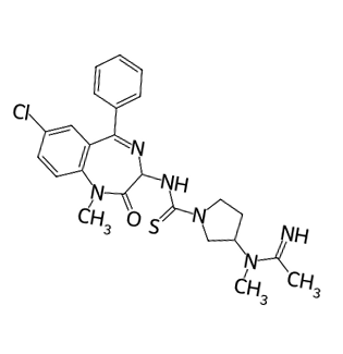 CC(=N)N(C)C1CCN(C(=S)NC2N=C(c3ccccc3)c3cc(Cl)ccc3N(C)C2=O)C1